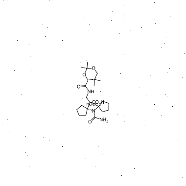 CCCCCCCCCCC1(N(C(N)=O)C2(C(CNC(=O)C3OC(C)(C)OCC3(C)C)C(=O)O)CCCC2)CCCC1